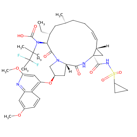 CC[C@@H]1C[C@H](C)CCC=C[C@@H]2C[C@@]2(C(=O)NS(=O)(=O)C2CC2)NC(=O)[C@@H]2C[C@@H](Oc3cc(OC)nc4cc(OC)ccc34)CN2C(=O)[C@H]1N(C(=O)O)C(C)(C)C(C)(F)F